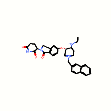 CCN[C@H]1CCN(Cc2ccc3ccccc3c2)C[C@@H]1Oc1ccc2c(c1)CN(C1CCC(=O)NC1=O)C2=O